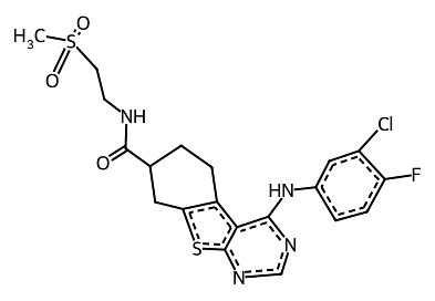 CS(=O)(=O)CCNC(=O)C1CCc2c(sc3ncnc(Nc4ccc(F)c(Cl)c4)c23)C1